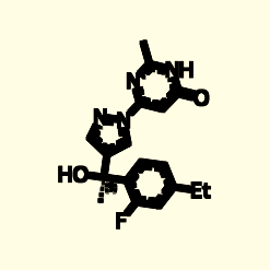 CCc1ccc([C@@](C)(O)c2cnn(-c3cc(=O)[nH]c(C)n3)c2)c(F)c1